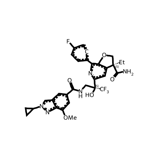 CC[C@@]1(C(N)=O)COc2c1cc([C@@](O)(CNC(=O)c1cc(OC)c3nn(C4CC4)cc3c1)C(F)(F)F)nc2-c1ccc(F)cc1